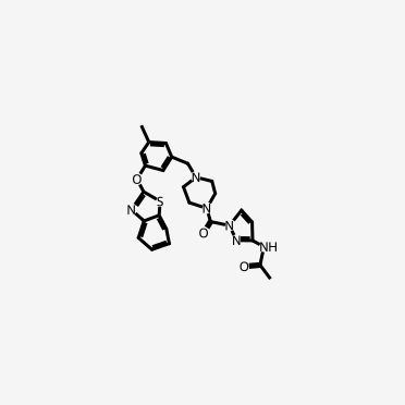 CC(=O)Nc1ccn(C(=O)N2CCN(Cc3cc(C)cc(Oc4nc5ccccc5s4)c3)CC2)n1